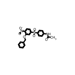 CC(=O)Nc1ccc(S(=O)(=O)c2ccc([N+](=O)[O-])c(OCc3ccccc3)c2)cc1